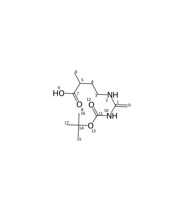 C=C(NCCC(C)C(=O)O)NC(=O)OC(C)(C)C